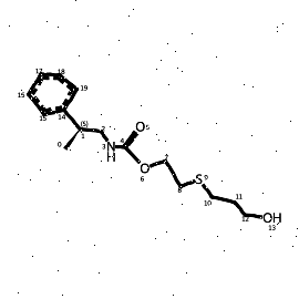 C[C@H](CNC(=O)OCCSCCCO)c1ccccc1